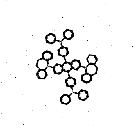 C1=CC2=C(CC1)N(c1ccc3c(-c4ccc(N(c5ccccc5)c5ccccc5)cc4)c4cc(N5c6ccccc6CCc6ccccc65)ccc4c(-c4ccc(N(c5ccccc5)c5ccccc5)cc4)c3c1)c1ccccc1CC2